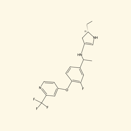 CC[C@H]1CC(NC(C)c2ccc(Oc3ccnc(C(F)(F)F)c3)c(F)c2)=CN1